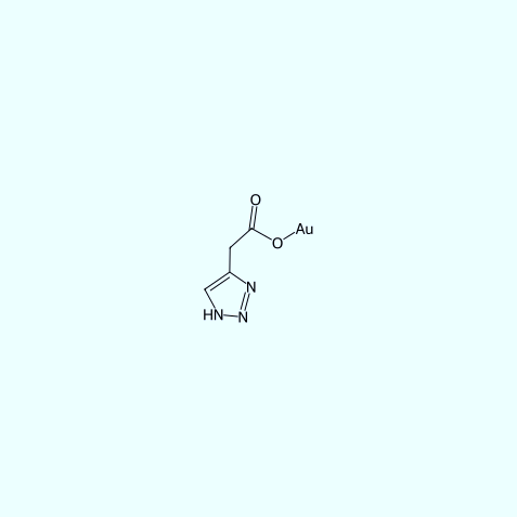 O=C(Cc1c[nH]nn1)[O][Au]